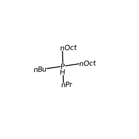 CCCCCCCC[PH](CCC)(CCCC)CCCCCCCC